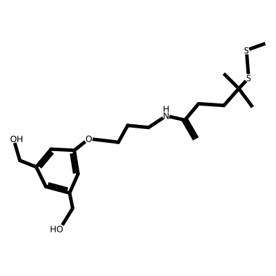 C=C(CCC(C)(C)SSC)NCCCOc1cc(CO)cc(CO)c1